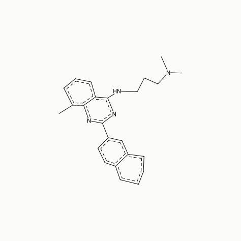 Cc1cccc2c(NCCCN(C)C)nc(-c3ccc4ccccc4c3)nc12